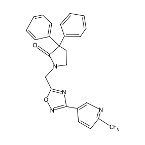 O=C1N(Cc2nc(-c3ccc(C(F)(F)F)nc3)no2)CCC1(c1ccccc1)c1ccccc1